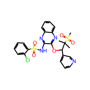 CC(C)(C(Oc1nc2ccccc2nc1NS(=O)(=O)c1ccccc1Cl)c1cccnc1)S(C)(=O)=O